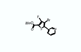 COC(=O)c1sc(-c2cccnc2)c(Br)c1F